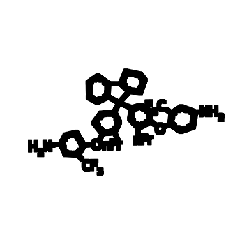 CCCc1cc(C2(c3ccc(Oc4ccc(N)cc4C(F)(F)F)c(CCC)c3)c3ccccc3-c3ccccc32)ccc1Oc1ccc(N)cc1C(F)(F)F